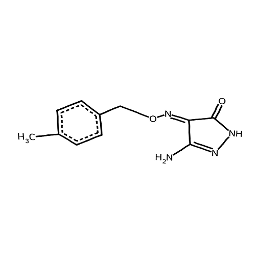 Cc1ccc(CON=C2C(=O)NN=C2N)cc1